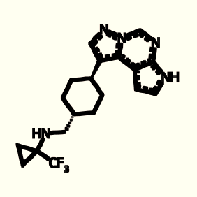 FC(F)(F)C1(NC[C@H]2CC[C@H](c3cnn4cnc5[nH]ccc5c34)CC2)CC1